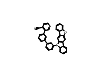 N#Cc1ccncc1-c1cccc(-c2cccc(-n3c4ccccc4c4cc5oc6ccccc6c5cc43)c2)c1